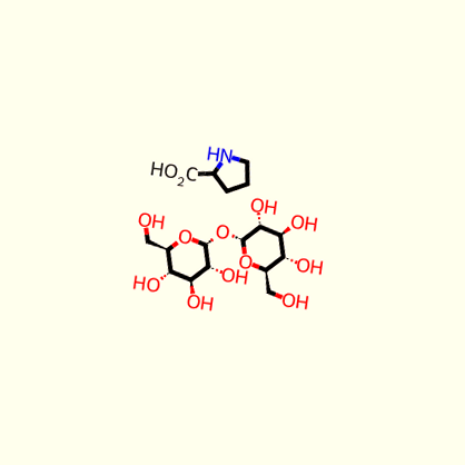 O=C(O)C1CCCN1.OC[C@H]1O[C@H](O[C@H]2O[C@H](CO)[C@@H](O)[C@H](O)[C@H]2O)[C@H](O)[C@@H](O)[C@@H]1O